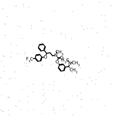 C[C@@H](c1cccc(OC(=O)N(C)CCC(Oc2ccc(C(F)(F)F)cc2)c2ccccc2)c1)N(C)C